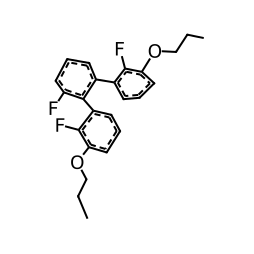 CCCOc1cccc(-c2cccc(F)c2-c2cccc(OCCC)c2F)c1F